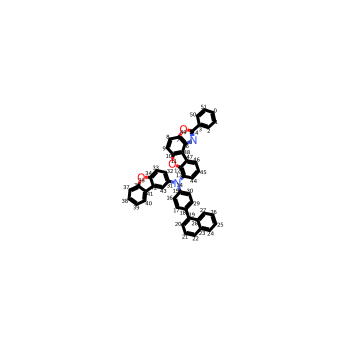 c1ccc(-c2nc3c(ccc4oc5c(N(c6ccc(-c7cccc8ccccc78)cc6)c6ccc7oc8ccccc8c7c6)cccc5c43)o2)cc1